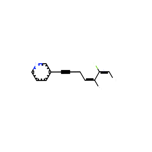 C/C=C(F)\C(=C/CC#Cc1cccnc1)C(C)=O